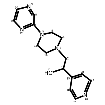 OC(CN1CCN(c2cnccn2)CC1)c1ccncc1